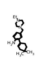 CCN1CCN(Cc2ccc(N)c(C3=CCC(C)(C)CC3)c2)CC1